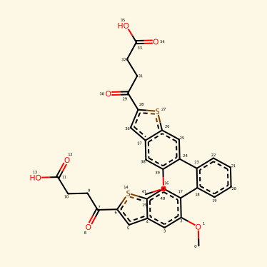 COc1cc2cc(C(=O)CCC(=O)O)sc2cc1-c1ccccc1-c1cc2sc(C(=O)CCC(=O)O)cc2cc1OC